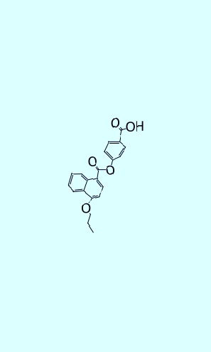 CCCOc1ccc(C(=O)Oc2ccc(C(=O)O)cc2)c2ccccc12